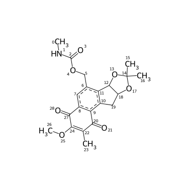 CNC(=O)OCc1cc2c(c3c1C1OC(C)(C)OC1C3)C(=O)C(C)=C(OC)C2=O